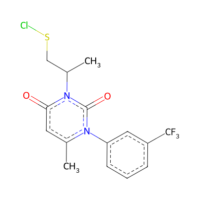 Cc1cc(=O)n(C(C)CSCl)c(=O)n1-c1cccc(C(F)(F)F)c1